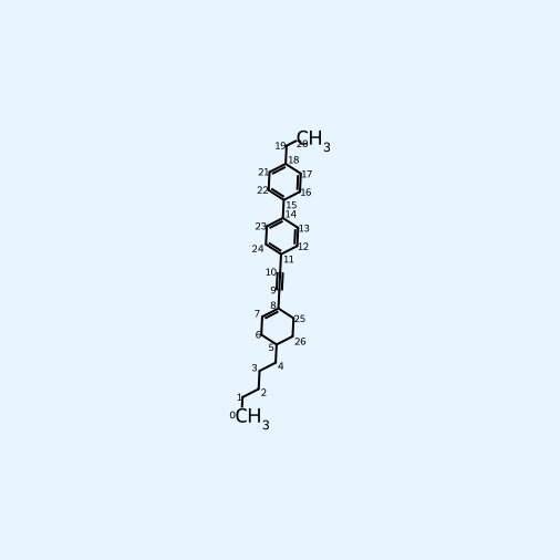 CCCCCC1CC=C(C#Cc2ccc(-c3ccc(CC)cc3)cc2)CC1